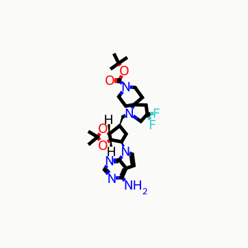 CC(C)(C)OC(=O)N1CCC2(CC1)CC(F)(F)CN2C[C@H]1C[C@@H](n2ccc3c(N)ncnc32)[C@@H]2OC(C)(C)O[C@H]12